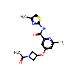 CC(=O)N1CC(Oc2cc(C)nc(C(=O)Nc3nc(C)cs3)c2)C1